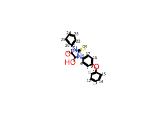 O=C1C(O)N(c2ccc(Oc3ccccc3)cc2)C(=S)N1c1ccccc1